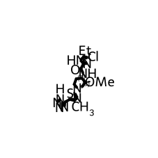 CCc1[nH]c(C(=O)N[C@@H]2CCN(c3nc(C)c(-c4nnn[nH]4)s3)C[C@@H]2OC)nc1Cl